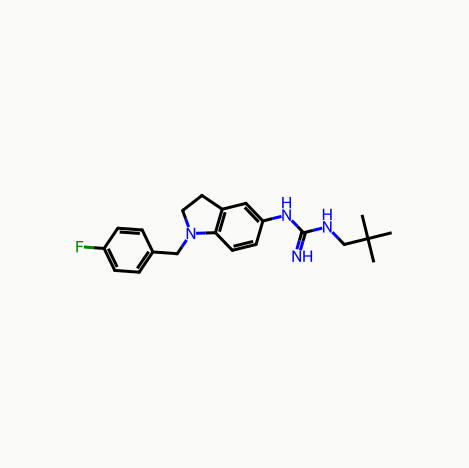 CC(C)(C)CNC(=N)Nc1ccc2c(c1)CCN2Cc1ccc(F)cc1